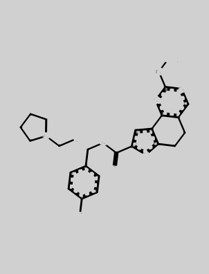 CNc1ncc2c(n1)-c1cc(C(=O)N[C@@H](CCN3CCCC3)c3ccc(Cl)cc3)sc1CC2